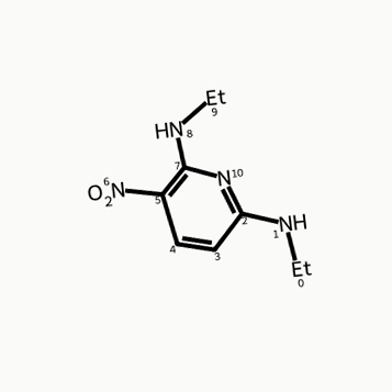 CCNc1ccc([N+](=O)[O-])c(NCC)n1